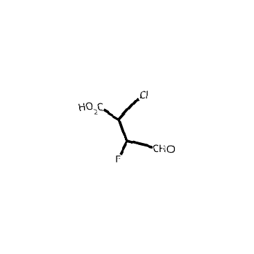 O=CC(F)C(Cl)C(=O)O